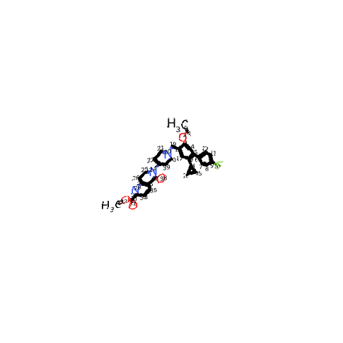 CCOc1cc(-c2ccc(F)cc2)c(C2CC2)cc1CN1CCC(N2CCc3nc(C(=O)OC)ccc3C2=O)CC1